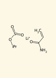 C=CC(N)=O.CC(C)O[S-](=O)=O.[Li+]